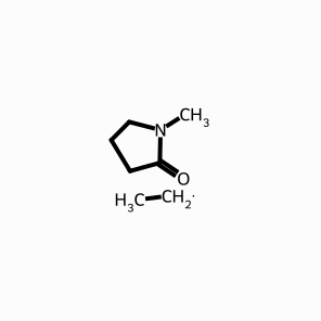 CN1CCCC1=O.[CH2]C